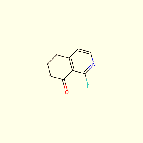 O=C1[C]CCc2c[c]nc(F)c21